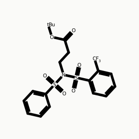 CC(C)(C)OC(=O)CCN(S(=O)(=O)c1ccccc1)S(=O)(=O)c1ccccc1C(F)(F)F